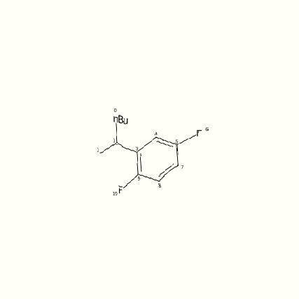 CCCC[C](C)c1cc(F)ccc1F